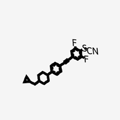 N#CSc1c(F)cc(C#Cc2ccc(C3CCC(CC4CC4)CC3)cc2)cc1F